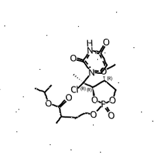 CO[C@@H]1COP(=O)(OCCC(C)C(=O)OC(C)C)O[C@H]1[C@@](C)(Cl)n1ccc(=O)[nH]c1=O